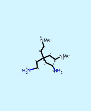 CNCCC(CCN)(CCN)CCNC